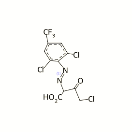 O=C(O)C(/N=N/c1c(Cl)cc(C(F)(F)F)cc1Cl)C(=O)CCl